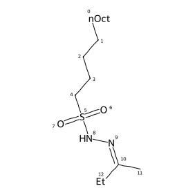 CCCCCCCCCCCCS(=O)(=O)N/N=C(/C)CC